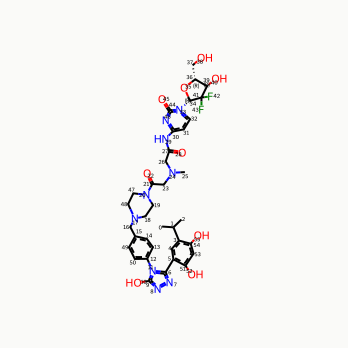 CC(C)c1cc(-c2nnc(O)n2-c2ccc(CN3CCN(C(=O)CN(C)CC(=O)Nc4ccn([C@@H]5O[C@H](CO)[C@@H](O)C5(F)F)c(=O)n4)CC3)cc2)c(O)cc1O